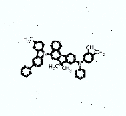 Cc1ccc2c(c1)c1cc(-c3ccccc3)ccc1n2-c1cc2c(c3ccccc13)-c1ccc(N(c3ccccc3)c3ccc(C)c(C)c3)cc1C2(C)C